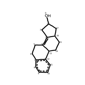 OC1CC2=C3CCc4ccccc4C3CCC2C1